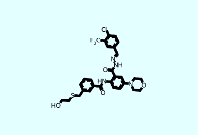 O=C(Nc1ccc(N2CCOCC2)cc1C(=O)N/N=C/c1ccc(Cl)c(C(F)(F)F)c1)c1cccc(CSCCO)c1